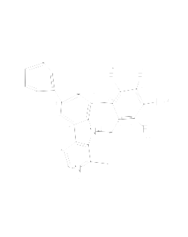 Cc1nccc2c3cc(-c4ccccc4)ccc3n(Cc3c(F)c(F)c(F)c(F)c3F)c12